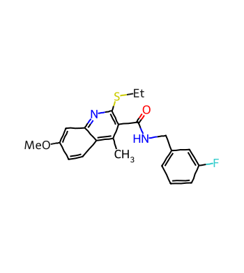 CCSc1nc2cc(OC)ccc2c(C)c1C(=O)NCc1cccc(F)c1